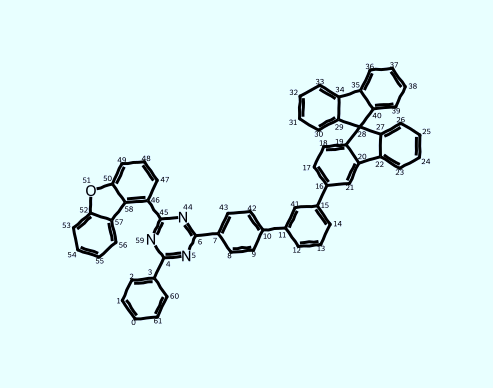 c1ccc(-c2nc(-c3ccc(-c4cccc(-c5ccc6c(c5)-c5ccccc5C65c6ccccc6-c6ccccc65)c4)cc3)nc(-c3cccc4oc5ccccc5c34)n2)cc1